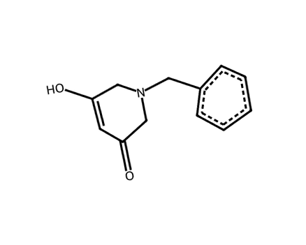 O=C1C=C(O)CN(Cc2ccccc2)C1